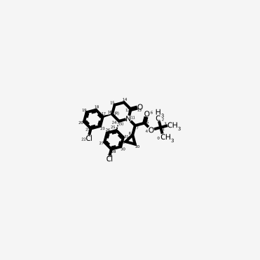 CC(C)(C)OC(=O)C(C1CC1)N1C(=O)CC[C@H](c2cccc(Cl)c2)[C@H]1c1ccc(Cl)cc1